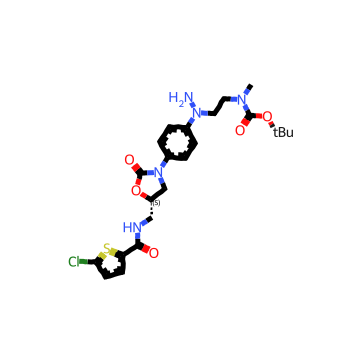 CN(CCN(N)c1ccc(N2C[C@H](CNC(=O)c3ccc(Cl)s3)OC2=O)cc1)C(=O)OC(C)(C)C